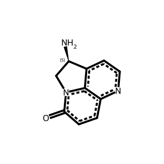 N[C@@H]1Cn2c(=O)ccc3nccc1c32